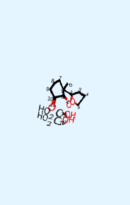 CC1(C2CCCO2)CCCC(=O)C1=O.O=C(O)O.O=C(O)O